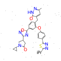 Cc1cc(Cc2ccc(-c3nc(C4CC(=O)N(C5CC5)C4)no3)cc2Oc2ccc(-c3nnc(C(C)C)s3)cc2)c(=O)[nH]n1